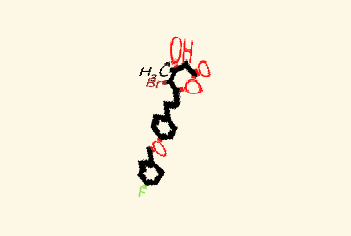 CC1(O)CC(=O)OC(CCc2ccc(OCc3ccc(F)cc3)cc2)C1Br